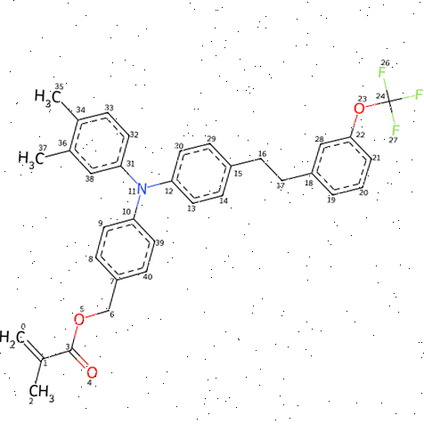 C=C(C)C(=O)OCc1ccc(N(c2ccc(CCc3cccc(OC(F)(F)F)c3)cc2)c2ccc(C)c(C)c2)cc1